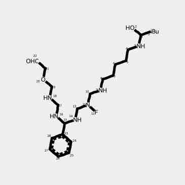 CCC(C)C(O)NCCCCCNCN(F)CNC(NCNCOCC=O)c1ccccc1